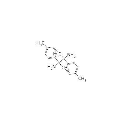 Cc1ccc([C@](C)(N)[C@](C)(N)c2ccc(C)cc2)cc1